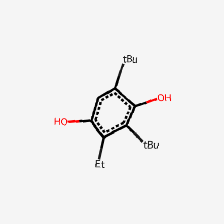 CCc1c(O)cc(C(C)(C)C)c(O)c1C(C)(C)C